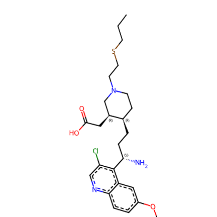 CCCSCCN1CC[C@@H](CC[C@H](N)c2c(Cl)cnc3ccc(OC)cc23)[C@@H](CC(=O)O)C1